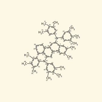 Cc1cc2c(N(c3cc(C)c(C)c(C)c3)c3cc(C)c(C)c(C)c3)cc3c4ccccc4c(N(c4cc(C)c(C)c(C)c4)c4cc(C)c(C)c(C)c4)cc3c2cc1C